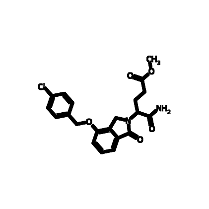 COC(=O)CCC(C(N)=O)N1Cc2c(OCc3ccc(Cl)cc3)cccc2C1=O